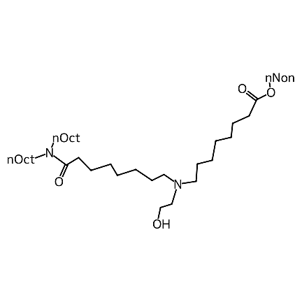 CCCCCCCCCOC(=O)CCCCCCCN(CCO)CCCCCCCC(=O)N(CCCCCCCC)CCCCCCCC